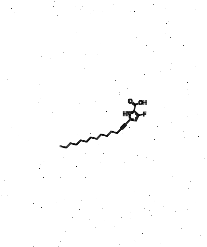 CCCCCCCCCCCCC#Cc1cc(F)c(C(=O)O)[nH]1